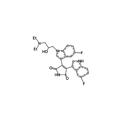 CCN(CC)CC(O)Cn1cc(C2=C(c3c[nH]c4ccc(F)cc34)C(=O)NC2=O)c2cc(F)ccc21